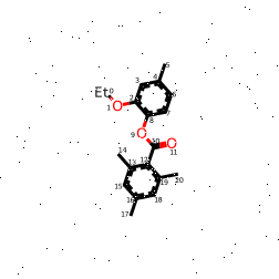 CCOc1cc(C)ccc1OC(=O)c1c(C)cc(C)cc1C